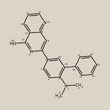 CN(C)c1ccc(-c2cc3ncccc3c(O)n2)cc1-c1ccccc1